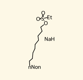 CCCCCCCCCCCCCCCCCCOS(=O)(=O)CC.[NaH]